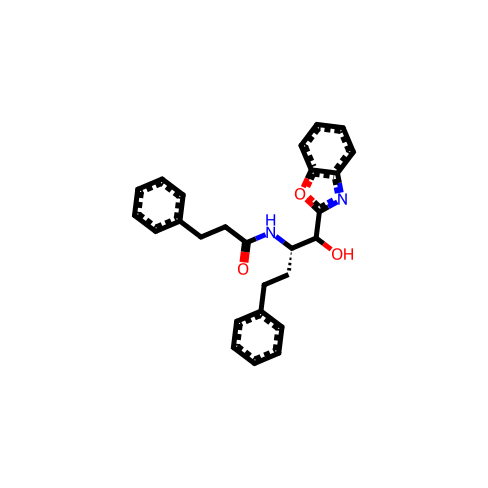 O=C(CCc1ccccc1)N[C@@H](CCc1ccccc1)C(O)c1nc2ccccc2o1